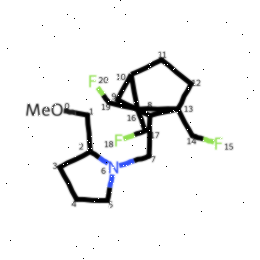 COCC1CCCN1CC1CC2CCC1(CF)C2(CF)CF